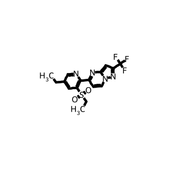 CCc1cnc(-c2ccn3nc(C(F)(F)F)cc3n2)c(S(=O)(=O)CC)c1